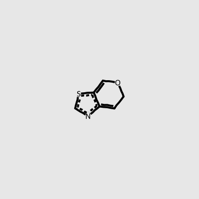 C1=c2ncsc2=COC1